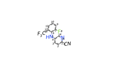 N#Cc1ccc(Nc2c(F)cccc2C(F)(F)F)cn1